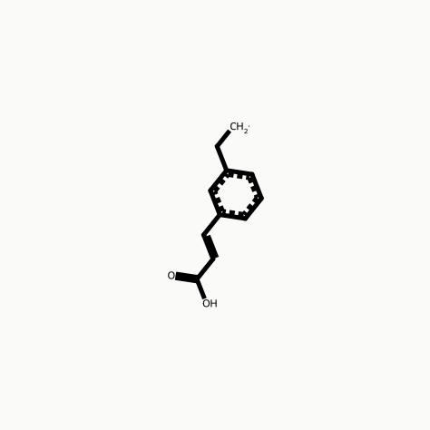 [CH2]Cc1cccc(/C=C/C(=O)O)c1